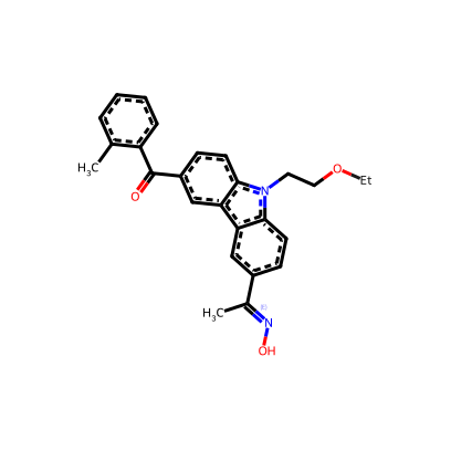 CCOCCn1c2ccc(C(=O)c3ccccc3C)cc2c2cc(/C(C)=N/O)ccc21